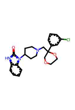 O=c1[nH]c2ccccc2n1C1CCN(CC2(c3cccc(Cl)c3)COCCO2)CC1